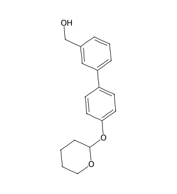 OCc1cccc(-c2ccc(OC3CCCCO3)cc2)c1